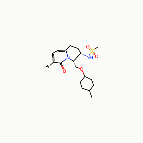 CC1CCC(OC[C@H]2[C@@H](NS(C)(=O)=O)CCc3ccc(C(C)C)c(=O)n32)CC1